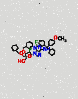 COc1ccc(C(Nc2nc(F)nc3c2ncn3[C@@H]2O[C@](CO)(COCc3ccccc3)[C@@H](OCc3ccccc3)[C@@H]2F)(c2ccccc2)c2ccccc2)cc1